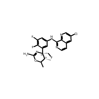 CC1OC(N)=N[C@@](CF)(c2cc(Nc3nccc4cc(Cl)cnc34)cc(F)c2F)[C@@H]1C